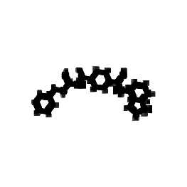 CC(NC(=O)OCc1ccccc1)[C@H]1CC[C@H](C(=O)Nc2ccnc3[nH]ncc23)CC1